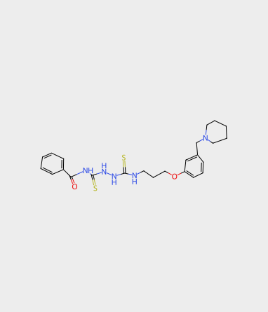 O=C(NC(=S)NNC(=S)NCCCOc1cccc(CN2CCCCC2)c1)c1ccccc1